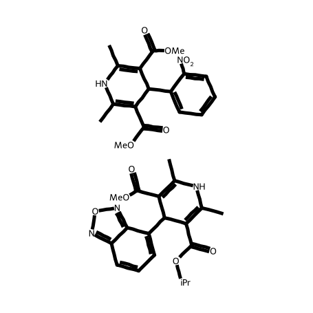 COC(=O)C1=C(C)NC(C)=C(C(=O)OC(C)C)C1c1cccc2nonc12.COC(=O)C1=C(C)NC(C)=C(C(=O)OC)C1c1ccccc1[N+](=O)[O-]